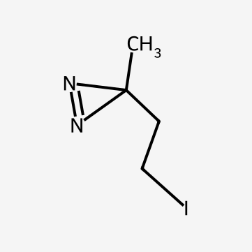 CC1(CCI)N=N1